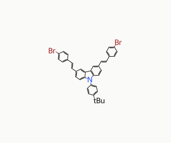 CC(C)(C)c1ccc(-n2c3ccc(C=Cc4ccc(Br)cc4)cc3c3cc(C=Cc4ccc(Br)cc4)ccc32)cc1